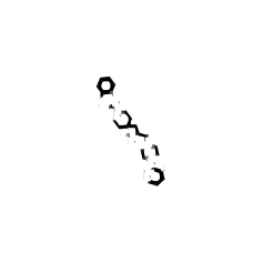 CCCc1ccccc1NC(=O)N1CCC2(CC1)CC(C(=O)N1CCN(c3ncccc3Cl)CC1)=NO2